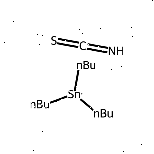 CCC[CH2][Sn]([CH2]CCC)[CH2]CCC.N=C=S